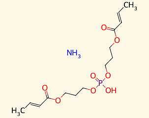 CC=CC(=O)OCCCOP(=O)(O)OCCCOC(=O)C=CC.N